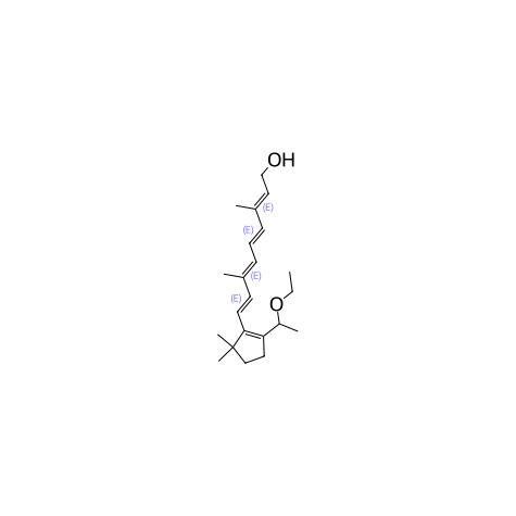 CCOC(C)C1=C(/C=C/C(C)=C/C=C/C(C)=C/CO)C(C)(C)CC1